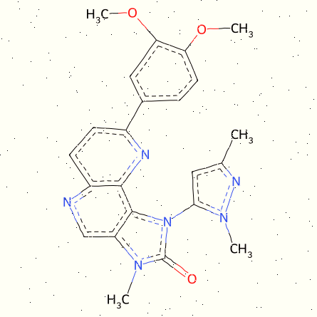 COc1ccc(-c2ccc3ncc4c(c3n2)n(-c2cc(C)nn2C)c(=O)n4C)cc1OC